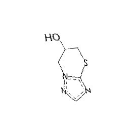 OC1CSc2ncnn2C1